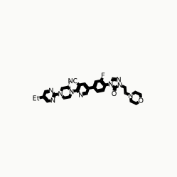 CCc1cnc(N2CCN(c3ncc(-c4ccc(-n5cnn(CCN6CCOCC6)c5=O)c(F)c4)cc3C#N)[C@@H](C)C2)nc1